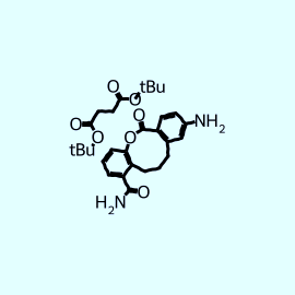 CC(C)(C)OC(=O)CCC(=O)OC(C)(C)C.NC(=O)c1cccc2c1CCCc1cc(N)ccc1C(=O)O2